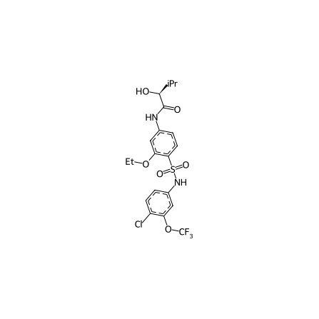 CCOc1cc(NC(=O)[C@@H](O)C(C)C)ccc1S(=O)(=O)Nc1ccc(Cl)c(OC(F)(F)F)c1